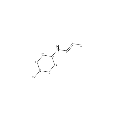 CC=CNC1CCN(C)CC1